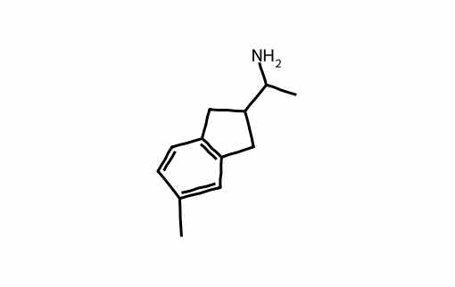 Cc1ccc2c(c1)CC(C(C)N)C2